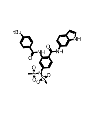 CC(C)(C)c1ccc(C(=O)Nc2cc(N(S(C)(=O)=O)S(C)(=O)=O)ccc2C(=O)Nc2ccc3cc[nH]c3c2)cc1